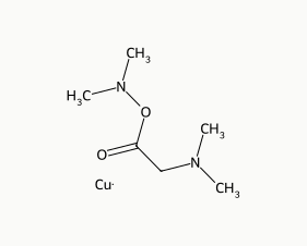 CN(C)CC(=O)ON(C)C.[Cu]